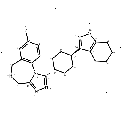 Clc1ccc2c(c1)CNCc1nnc([C@H]3CC[C@H](c4noc5c4CCCC5)CC3)n1-2